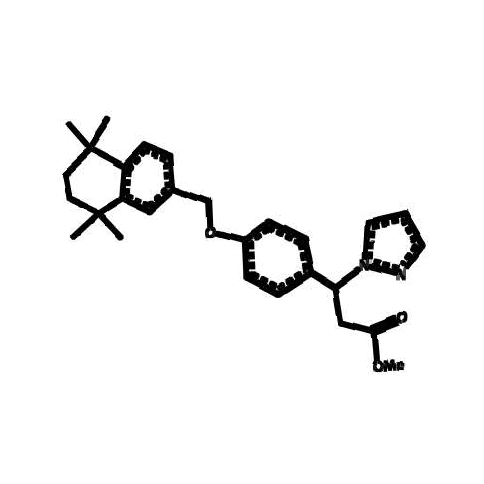 COC(=O)CC(c1ccc(OCc2ccc3c(c2)C(C)(C)CCC3(C)C)cc1)n1cccn1